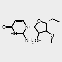 CC[C@H]1O[C@@H](N2C=CC(=O)NC2N)C(O)C1OC